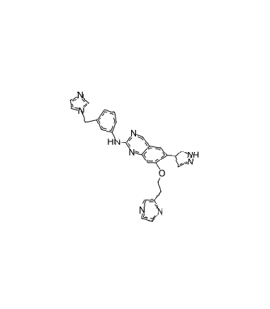 C1=NNCC1c1cc2cnc(Nc3cccc(Cn4ccnc4)c3)nc2cc1OCCc1cnccn1